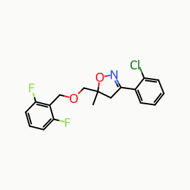 CC1(COCc2c(F)cccc2F)CC(c2ccccc2Cl)=NO1